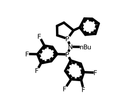 CCCCN(P(c1cc(F)c(F)c(F)c1)c1cc(F)c(F)c(F)c1)P1CCCC1c1ccccc1